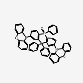 O=P1(c2ccccc2)c2ccc(N3c4ccccc4Oc4ccccc43)cc2[Si](c2ccccc2)(c2ccccc2)c2cc(N3c4ccccc4Oc4ccccc43)ccc21